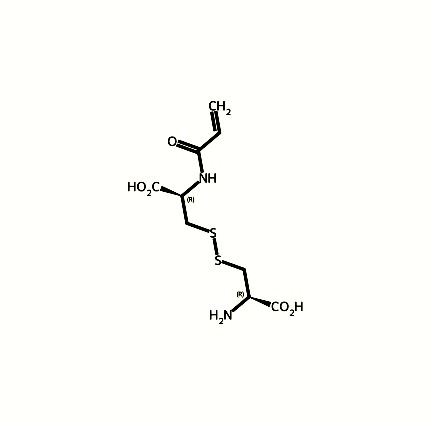 C=CC(=O)N[C@@H](CSSC[C@H](N)C(=O)O)C(=O)O